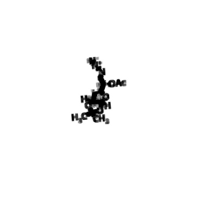 CC(=O)O[C@@H](CN=[N+]=[N-])[C@@H]1C[C@H]2OC(C)(C)O[C@H]2O1